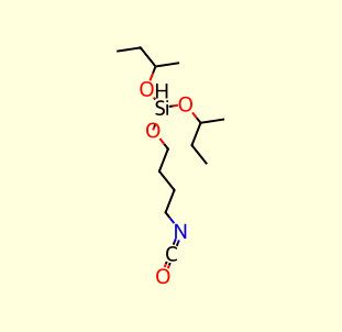 CCC(C)O[SiH](OCCCCN=C=O)OC(C)CC